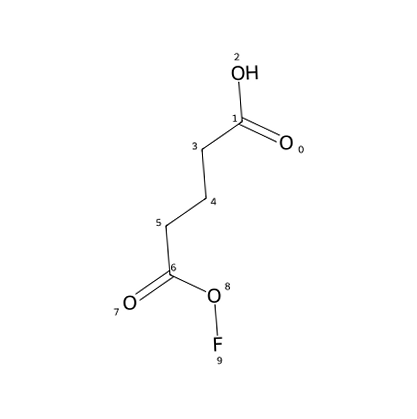 O=C(O)CCCC(=O)OF